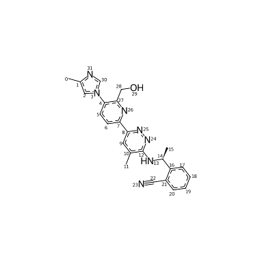 Cc1cn(-c2ccc(-c3cc(C)c(N[C@@H](C)c4ccccc4C#N)nn3)nc2CO)cn1